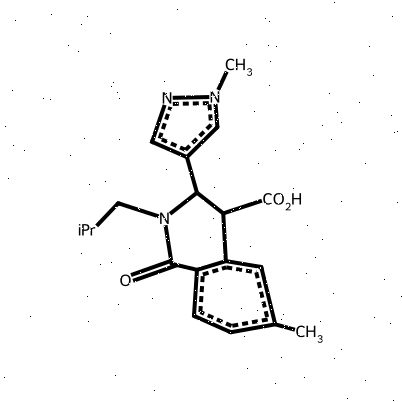 Cc1ccc2c(c1)C(C(=O)O)C(c1cnn(C)c1)N(CC(C)C)C2=O